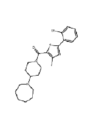 CCc1ccccc1-c1nc(C)c(C(=O)N2CCC(N3CCCCCC3)CC2)s1